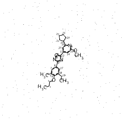 CC[CH]Oc1c(C)cc(-c2noc(-c3cc(OC)nc(C4CCCC4)c3)n2)cc1CC